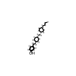 CCCC[C@H]1CC[C@H](CC[C@H]2CC[C@H](CCc3ccc(O)cc3)CC2)CC1